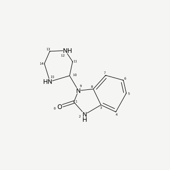 O=c1[nH]c2ccccc2n1C1CNCCN1